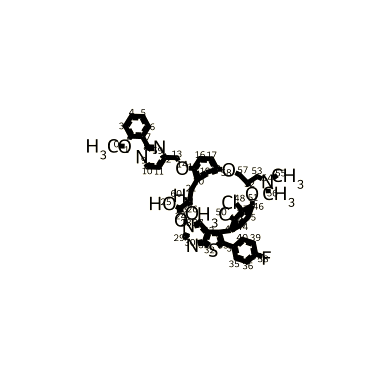 COc1ccccc1-c1nccc(COc2ccc3cc2C[C@H](C(=O)O)Oc2ncnc4sc(-c5ccc(F)cc5)c(c24)-c2ccc(c(Cl)c2C)OC(CN(C)C)CO3)n1